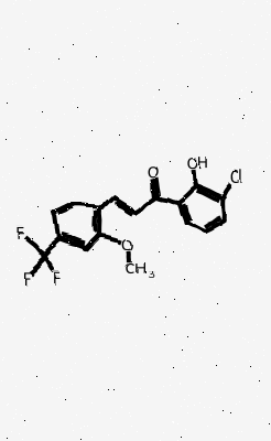 COc1cc(C(F)(F)F)ccc1C=CC(=O)c1cccc(Cl)c1O